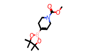 COC(=O)N1CC=C(B2OC(C)(C)C(C)(C)O2)CC1